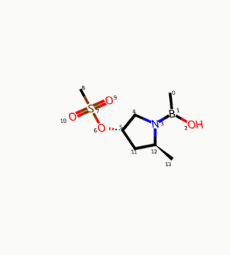 CB(O)N1C[C@@H](OS(C)(=O)=O)C[C@@H]1C